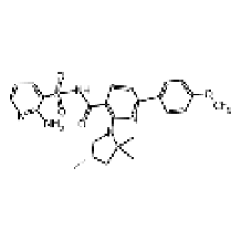 C[C@@H]1CN(c2nc(-c3ccc(OC(F)(F)F)cc3)ccc2C(=O)NS(=O)(=O)c2cccnc2N)C(C)(C)C1